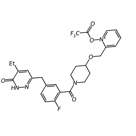 CCc1cc(Cc2ccc(F)c(C(=O)N3CCC(OCc4cccc[n+]4OC(=O)C(F)(F)F)CC3)c2)n[nH]c1=O